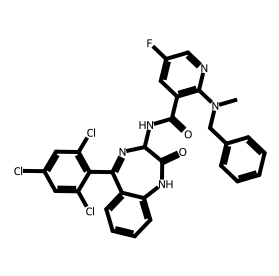 CN(Cc1ccccc1)c1ncc(F)cc1C(=O)NC1N=C(c2c(Cl)cc(Cl)cc2Cl)c2ccccc2NC1=O